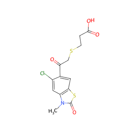 Cn1c(=O)sc2cc(C(=O)CSCCC(=O)O)c(Cl)cc21